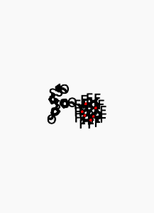 COc1ccc([S+](c2ccc(OC)cc2)c2ccc(Sc3ccc(OC)s3)s2)cc1.Fc1c(F)c(F)c([B-](c2c(F)c(F)c(F)c(F)c2F)(c2c(F)c(F)c(F)c(F)c2F)c2c(F)c(F)c(F)c(F)c2F)c(F)c1F